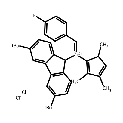 CC1=CC(C)[C](/[Zr+2](=[CH]/c2ccc(F)cc2)[CH]2c3ccc(C(C)(C)C)cc3-c3cc(C(C)(C)C)ccc32)=C1C.[Cl-].[Cl-]